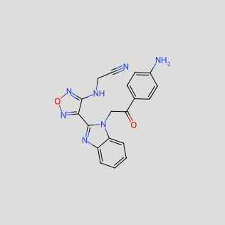 N#CCNc1nonc1-c1nc2ccccc2n1CC(=O)c1ccc(N)cc1